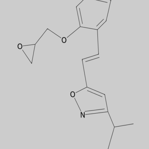 CC(C)c1cc(C=Cc2ccccc2OCC2CO2)on1